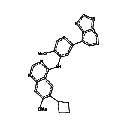 COc1ccc(-c2cccc3ncnn23)cc1Nc1ncnc2cc(OC)c(C3CCC3)cc12